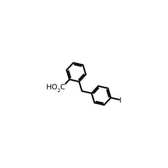 O=C(O)c1ccccc1Cc1ccc(I)cc1